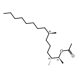 CCCCCCCC[C@@H](C)CCC[C@@H](C)[C@H](C)OC(C)=O